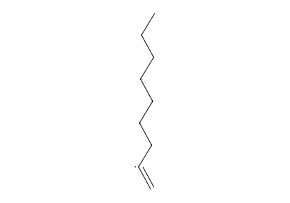 C=[C]CCCCCCC